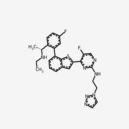 CCN[C@H](C)c1ccc(F)cc1-c1cccc2cc(-c3nc(NCCn4ccnn4)ncc3F)sc12